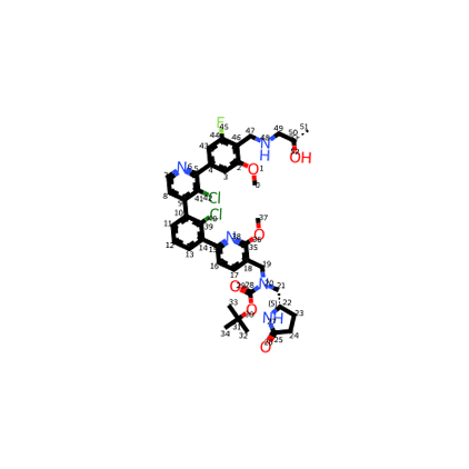 COc1cc(-c2nccc(-c3cccc(-c4ccc(CN(C[C@@H]5CCC(=O)N5)C(=O)OC(C)(C)C)c(OC)n4)c3Cl)c2Cl)cc(F)c1CNC[C@H](C)O